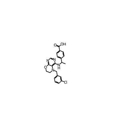 CC(Nc1ncnc2c1N(Cc1cccc(Cl)c1)CCO2)c1ccc(C(=O)O)cc1